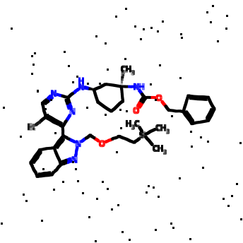 CCc1cnc(N[C@@H]2CCC[C@](C)(NC(=O)OCc3ccccc3)C2)nc1-c1c2ccccc2nn1COCC[Si](C)(C)C